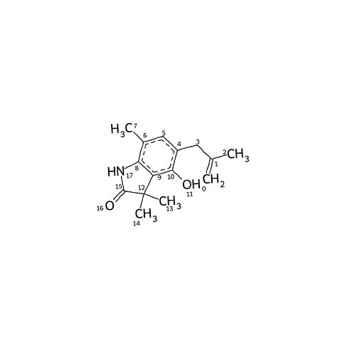 C=C(C)Cc1cc(C)c2c(c1O)C(C)(C)C(=O)N2